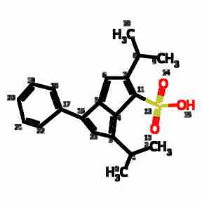 CC(C)C1=C2C(=CC(C(C)C)=C2S(=O)(=O)O)C(c2ccccc2)=C1